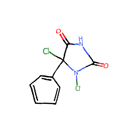 O=C1NC(=O)C(Cl)(c2ccccc2)N1Cl